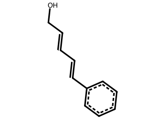 OCC=[C]C=Cc1ccccc1